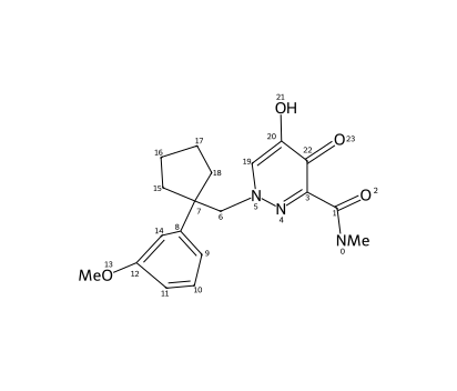 CNC(=O)c1nn(CC2(c3cccc(OC)c3)CCCC2)cc(O)c1=O